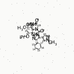 COC1(C)C=C(OC(C)C)C2(C)C3=N[C@@H](c4ccccc4)[C@@H](c4cnn(C)c4)N3C(=O)N3CC(=O)NC1=C32